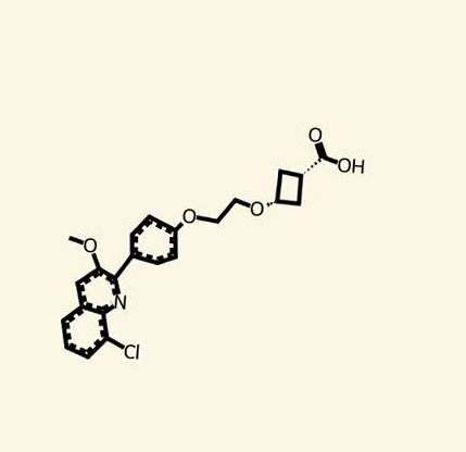 COc1cc2cccc(Cl)c2nc1-c1ccc(OCCO[C@H]2C[C@@H](C(=O)O)C2)cc1